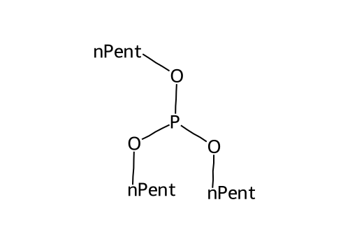 CCCCCOP(OCCCCC)OCCCCC